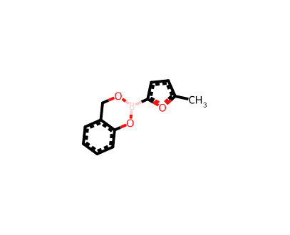 Cc1ccc(B2OCc3ccccc3O2)o1